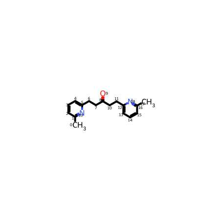 Cc1cccc(CCC(=O)CCc2cccc(C)n2)n1